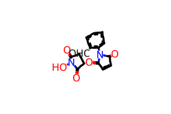 O=C1CCC(=O)N1O.O=Cc1ccccc1N1C(=O)C=CC1=O